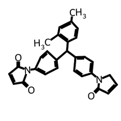 Cc1ccc(C(c2ccc(N3CC=CC3=O)cc2)c2ccc(N3C(=O)C=CC3=O)cc2)c(C)c1